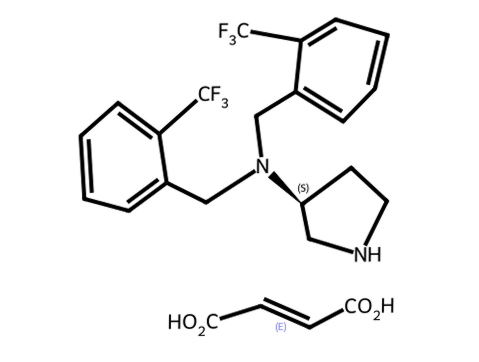 FC(F)(F)c1ccccc1CN(Cc1ccccc1C(F)(F)F)[C@H]1CCNC1.O=C(O)/C=C/C(=O)O